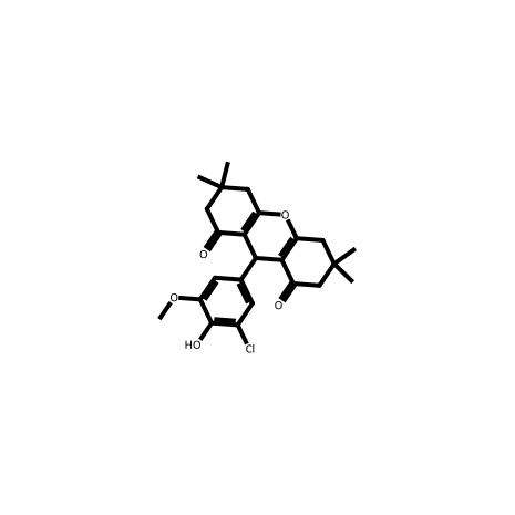 COc1cc(C2C3=C(CC(C)(C)CC3=O)OC3=C2C(=O)CC(C)(C)C3)cc(Cl)c1O